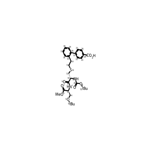 COC(=O)[C@H](COC(C)(C)C)NC(=O)[C@H](CSCCc1ccccc1-c1ccc(C(=O)O)cc1)NC(=O)OC(C)(C)C